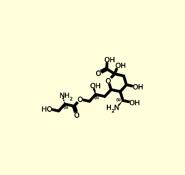 N[C@@H](CO)C(=O)OC[C@@H](O)CC1OC(O)(C(=O)O)CC(O)C1[C@@H](N)O